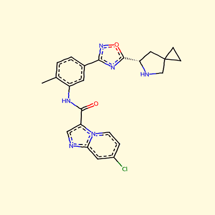 Cc1ccc(-c2noc([C@@H]3CC4(CC4)CN3)n2)cc1NC(=O)c1cnc2cc(Cl)ccn12